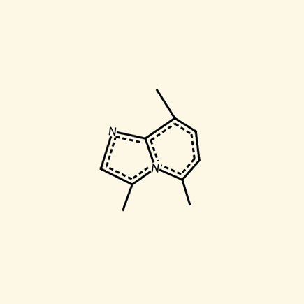 Cc1ccc(C)n2c(C)cnc12